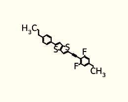 CCCc1ccc(-c2cc3sc(C#Cc4c(F)cc(CC)cc4F)cc3s2)cc1